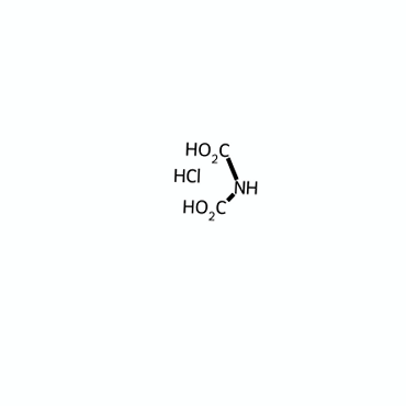 Cl.O=C(O)NC(=O)O